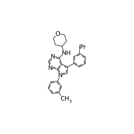 Cc1cccc(-n2cc(-c3cccc(C(C)C)c3)c3c(NC4CCOCC4)ncnc32)c1